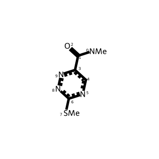 CNC(=O)c1cnc(SC)nn1